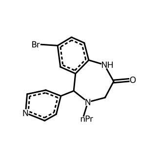 CCCN1CC(=O)Nc2ccc(Br)cc2C1c1ccncc1